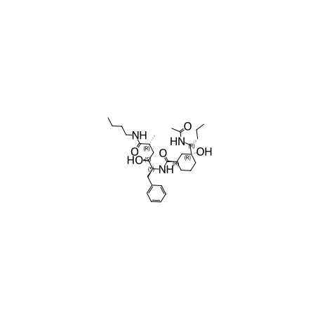 CCCCNC(=O)[C@H](C)C[C@H](O)[C@H](Cc1ccccc1)NC(=O)[C@@H]1CCC[C@](O)([C@@H](CCC)NC(C)=O)C1